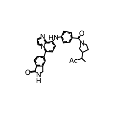 CC(=O)C(C)C1CCN(C(=O)c2ccc(Nc3ccc(-c4ccc5c(c4)CNC5=O)n4ccnc34)cc2)C1